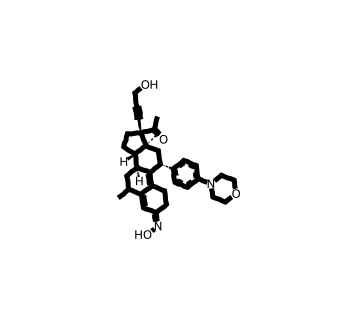 CC(=O)[C@@]1(C#CCO)CC[C@H]2[C@@H]3CC(C)C4=CC(=NO)CCC4=C3[C@@H](c3ccc(N4CCOCC4)cc3)C[C@@]21C